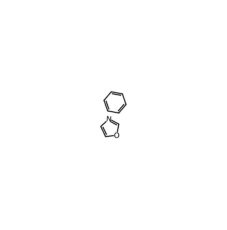 c1ccccc1.c1cocn1